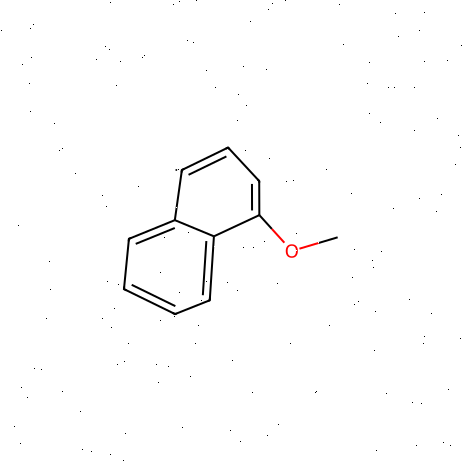 COc1cc[c]c2ccccc12